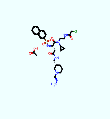 CC(=O)O.NN=CN1CCC[C@@H](CNC(=O)C[C@H](NS(=O)(=O)c2ccc3ccccc3c2)C(=O)N(CCNC(=O)CCl)C2CC2)C1